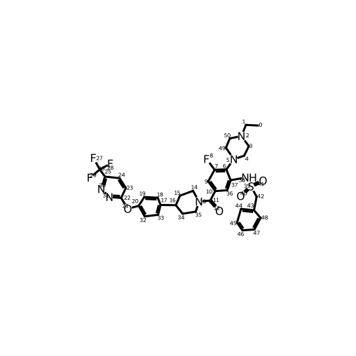 CCN1CCN(c2c(F)cc(C(=O)N3CCC(c4ccc(Oc5ccc(C(F)(F)F)nn5)cc4)CC3)cc2NS(=O)(=O)Cc2ccccc2)CC1